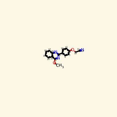 COc1nc(-c2ccc(OCC#N)cc2)nc2ccccc12